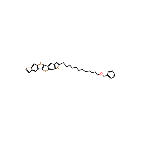 c1ccc(COCCCCCCCCCCCCc2cc3cc4c(cc3s2)sc2c3cc5ccsc5cc3sc42)cc1